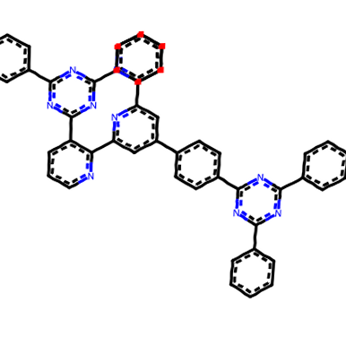 c1ccc(-c2nc(-c3ccccc3)nc(-c3ccc(-c4cc(-c5ccccn5)nc(-c5ncccc5-c5nc(-c6ccccc6)nc(-c6ccccc6)n5)c4)cc3)n2)cc1